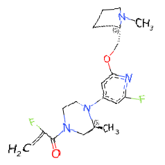 C=C(F)C(=O)N1CCN(c2cc(F)nc(OC[C@@H]3CCCN3C)c2)[C@@H](C)C1